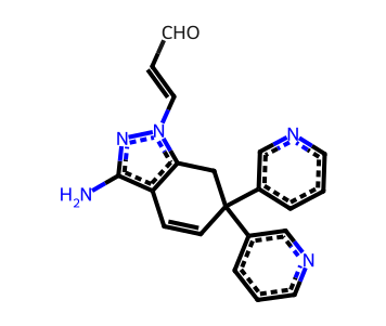 Nc1nn(C=CC=O)c2c1C=CC(c1cccnc1)(c1cccnc1)C2